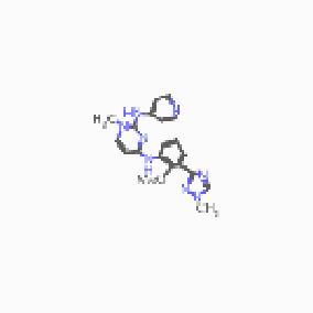 COc1c(NC2=NC(Nc3ccncc3)N(C)C=C2)cccc1-c1ncn(C)n1